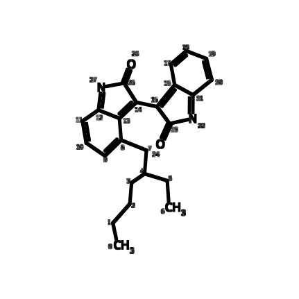 CCCCC(CC)Cc1cccc2c1=C(C1=c3ccccc3=NC1=O)C(=O)N=2